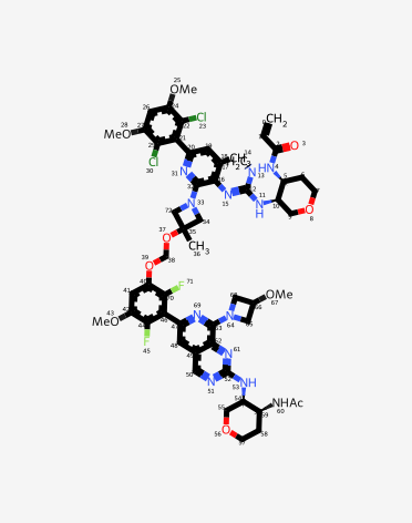 C=CC(=O)N[C@H]1CCOC[C@H]1N/C(N=C)=N/c1c(C)cc(-c2c(Cl)c(OC)cc(OC)c2Cl)nc1N1CC(C)(OCOc2cc(OC)c(F)c(-c3cc4cnc(N[C@@H]5COCC[C@@H]5NC(C)=O)nc4c(N4CC(OC)C4)n3)c2F)C1